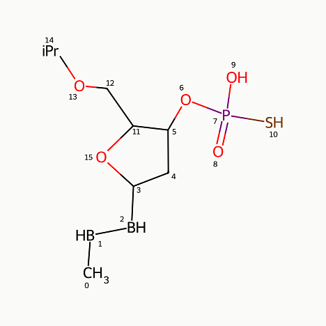 CBBC1CC(OP(=O)(O)S)C(COC(C)C)O1